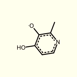 Cc1nccc(O)c1[O]